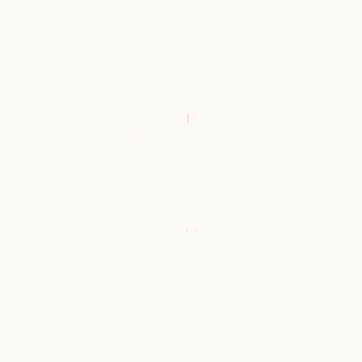 C=Cc1ccc2c(c1)C(C(=O)O)c1cc(C=C)ccc1O2